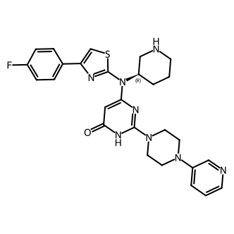 O=c1cc(N(c2nc(-c3ccc(F)cc3)cs2)[C@@H]2CCCNC2)nc(N2CCN(c3cccnc3)CC2)[nH]1